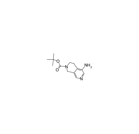 CC(C)(C)OC(=O)N1CCc2c(N)cncc2C1